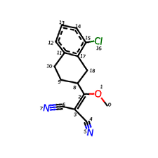 COC(=C(C#N)C#N)C1CCc2cccc(Cl)c2C1